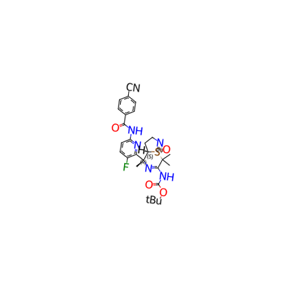 CC(C)(C)OC(=O)NC1=N[C@](C)(c2nc(NC(=O)c3ccc(C#N)cc3)ccc2F)[C@@H]2CCN=[S@]2(=O)C1(C)C